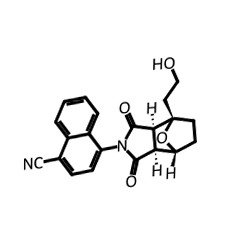 N#Cc1ccc(N2C(=O)[C@H]3[C@@H](C2=O)[C@]2(CCO)CC[C@H]3O2)c2ccccc12